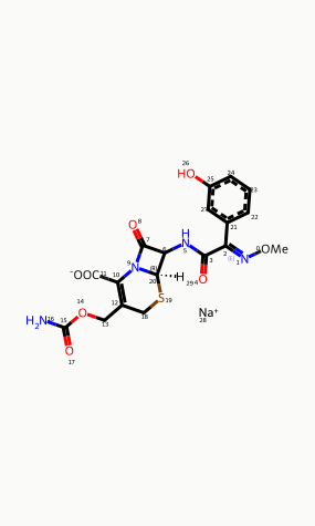 CO/N=C(/C(=O)NC1C(=O)N2C(C(=O)[O-])=C(COC(N)=O)CS[C@H]12)c1cccc(O)c1.[Na+]